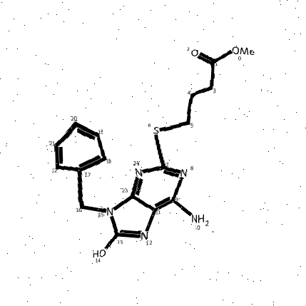 COC(=O)CCCSc1nc(N)c2nc(O)n(Cc3ccccc3)c2n1